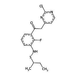 CCC(C)SNc1cccc(C(=O)Cc2ccnc(Cl)n2)c1F